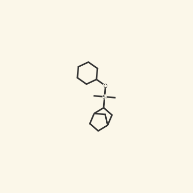 C[Si](C)(OC1CCCCC1)C1CC2CCC1C2